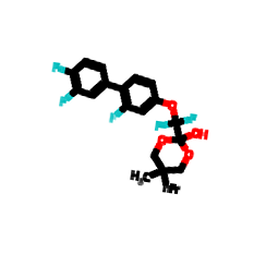 CCCC1(C)COC(O)(C(F)(F)Oc2ccc(-c3ccc(F)c(F)c3)c(F)c2)OC1